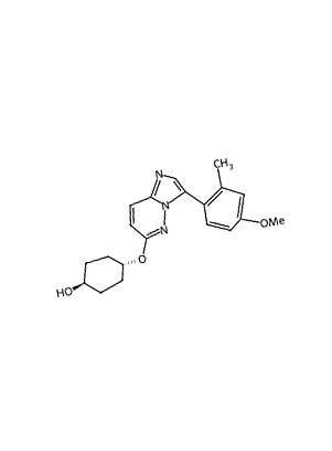 COc1ccc(-c2cnc3ccc(O[C@H]4CC[C@H](O)CC4)nn23)c(C)c1